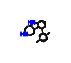 Cc1ccc(C)c(-c2cccc3c2C2CCNCCC2N3)c1